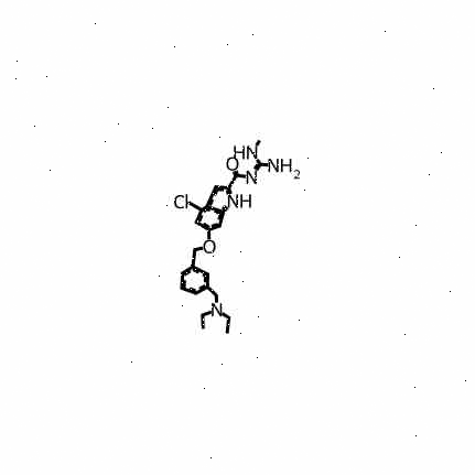 CCN(CC)Cc1cccc(COc2cc(Cl)c3cc(C(=O)N=C(N)NC)[nH]c3c2)c1